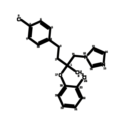 CC(CCc1ccc(Cl)cc1)(Cn1ccnc1)Oc1ccccc1Cl